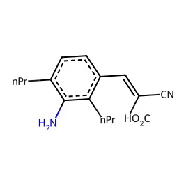 CCCc1ccc(C=C(C#N)C(=O)O)c(CCC)c1N